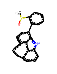 C[S+]([O-])c1ccccc1-c1ccc2ccc3cccc4[nH]c1c2c34